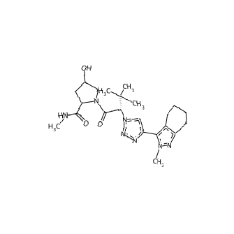 CNC(=O)C1CC(O)CN1C(=O)[C@@H](n1cc(-c2c3c(nn2C)CCCC3)nn1)C(C)(C)C